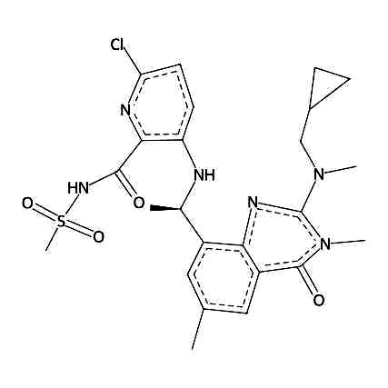 Cc1cc([C@@H](C)Nc2ccc(Cl)nc2C(=O)NS(C)(=O)=O)c2nc(N(C)CC3CC3)n(C)c(=O)c2c1